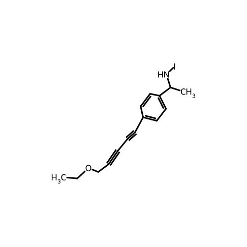 CCOCC#CC#Cc1ccc(C(C)NI)cc1